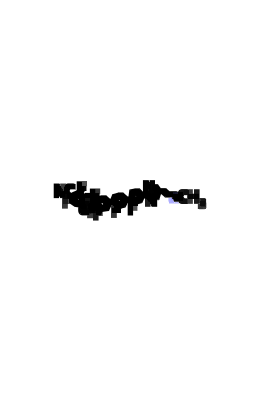 C/C=C/CCc1cnc(-c2ccc(-c3ccc(-c4cc(F)c(C(F)(F)Oc5cc(F)c(C#N)c(F)c5)c(F)c4)c(F)c3)c(F)c2)nc1